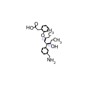 CC/C(O)=C(\C=C(/CC)Oc1ccccc1CC(=O)O)c1cccc(CN)c1